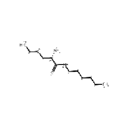 CCCCCCNC(=O)[C@@H](N)CSCC